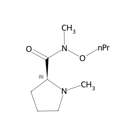 CCCON(C)C(=O)[C@@H]1CCCN1C